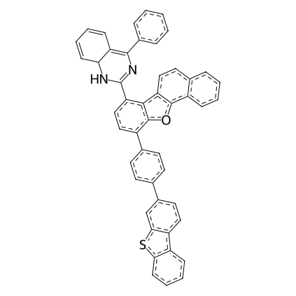 C1=CC2=C(c3ccccc3)N=C(c3ccc(-c4ccc(-c5ccc6c(c5)sc5ccccc56)cc4)c4oc5c6ccccc6ccc5c34)NC2C=C1